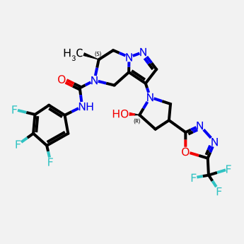 C[C@H]1Cn2ncc(N3CC(c4nnc(C(F)(F)F)o4)C[C@H]3O)c2CN1C(=O)Nc1cc(F)c(F)c(F)c1